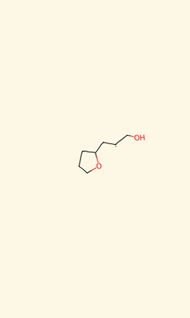 OC[CH]CC1CCCO1